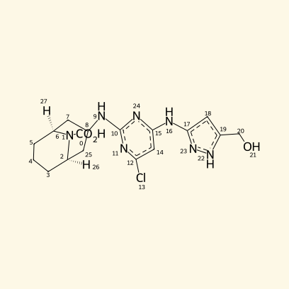 O=C(O)N1[C@@H]2CCC[C@H]1CC(Nc1nc(Cl)cc(Nc3cc(CO)[nH]n3)n1)C2